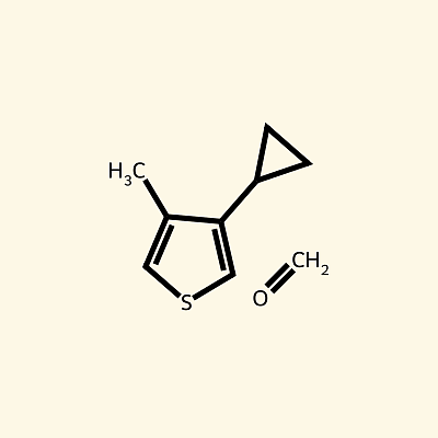 C=O.Cc1cscc1C1CC1